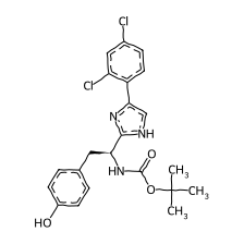 CC(C)(C)OC(=O)N[C@@H](Cc1ccc(O)cc1)c1nc(-c2ccc(Cl)cc2Cl)c[nH]1